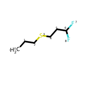 [CH2]CCSCCC(F)F